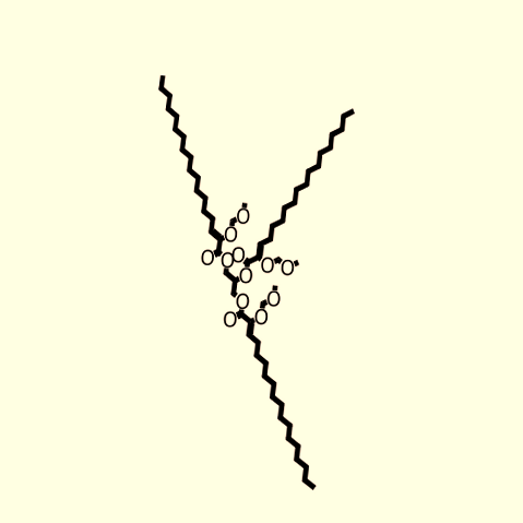 CCCCCCCCCCCCCCCC=C(OCOC)C(=O)OCC(COC(=O)C(=CCCCCCCCCCCCCCCC)OCOC)OC(=O)C(=CCCCCCCCCCCCCCCC)OCOC